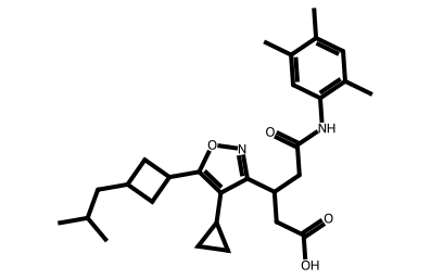 Cc1cc(C)c(NC(=O)CC(CC(=O)O)c2noc(C3CC(CC(C)C)C3)c2C2CC2)cc1C